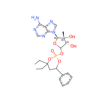 CCC1(CC)CC(c2ccccc2)OP(=O)(OC2O[C@@H](n3cnc4c(N)ncnc43)[C@](C)(O)[C@@H]2O)O1